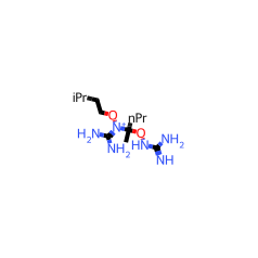 CCCC(C)(ONC(=N)N)[N+](OCCC(C)C)=C(N)N